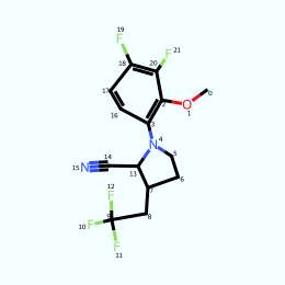 COc1c(N2CCC(CC(F)(F)F)C2C#N)ccc(F)c1F